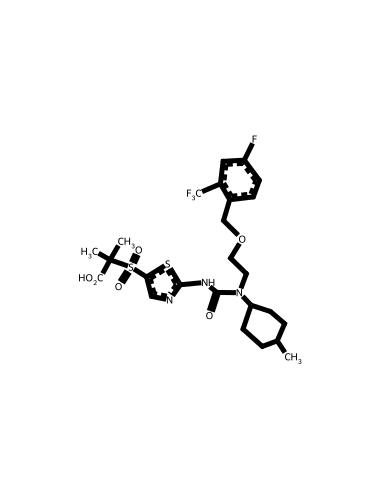 CC1CCC(N(CCOCc2ccc(F)cc2C(F)(F)F)C(=O)Nc2ncc(S(=O)(=O)C(C)(C)C(=O)O)s2)CC1